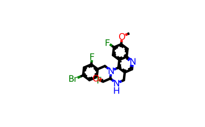 COc1cc2ncc3c(c2cc1F)N(Cc1c(F)cc(Br)cc1F)C(C=O)NC3